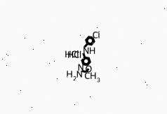 CC1Oc2ccc(CNCc3ccc(Cl)cc3)cc2N=C1N.Cl.Cl